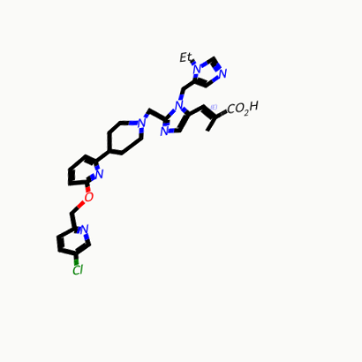 CCn1cncc1Cn1c(/C=C(\C)C(=O)O)cnc1CN1CCC(c2cccc(OCc3ccc(Cl)cn3)n2)CC1